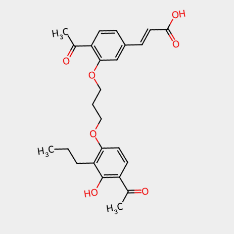 CCCc1c(OCCCOc2cc(/C=C/C(=O)O)ccc2C(C)=O)ccc(C(C)=O)c1O